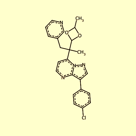 CC1OC(C(C)(Cc2cccnc2)c2ccnc3c(-c4ccc(Cl)cc4)cnn23)O1